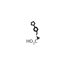 O=C(O)[C@@H]1C[C@H]1CCc1ccc(C2CCCC2)cc1